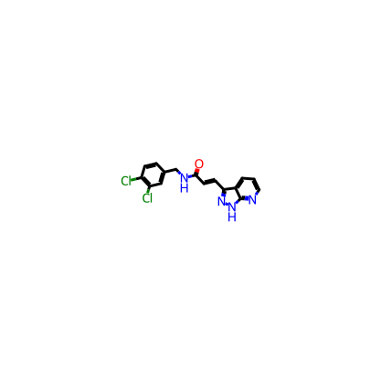 O=C(C=Cc1n[nH]c2ncccc12)NCc1ccc(Cl)c(Cl)c1